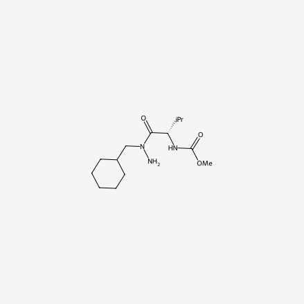 COC(=O)N[C@H](C(=O)N(N)CC1CCCCC1)C(C)C